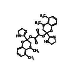 Cc1cccc2c1N(C)CC(OC(=O)C(=O)OC1(C3=NCCN3)CN(C)c3c(C)cccc3O1)(C1=NCCN1)O2